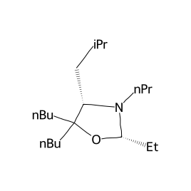 CCCCC1(CCCC)O[C@@H](CC)N(CCC)[C@H]1CC(C)C